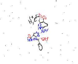 CC1(C)Cc2nc(Nc3ncc(-c4nnco4)c(N[C@H](CO)c4ccccc4)n3)ccc2C(=O)O1